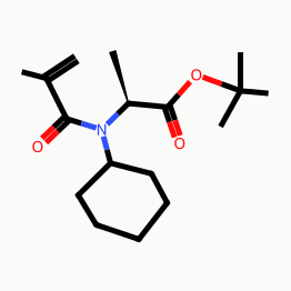 C=C(C)C(=O)N(C1CCCCC1)[C@@H](C)C(=O)OC(C)(C)C